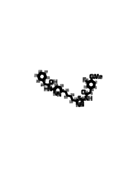 COc1ccc(CC(=O)Nc2nnc(CCCCc3ccc(NC(O)Cc4ccccc4)nn3)s2)cc1F